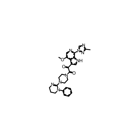 COc1cnc(-n2cnc(C)n2)c2[nH]cc(C(=O)C(=O)N3CCN(C4=NCCCN4c4ccccc4)CC3)c12